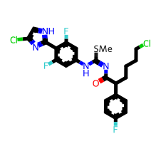 CSC(=NC(=O)C(CCCCCl)c1ccc(F)cc1)Nc1cc(F)c(-c2nc(Cl)c[nH]2)c(F)c1